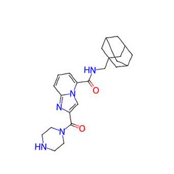 O=C(NCC12CC3CC(CC(C3)C1)C2)c1cccc2nc(C(=O)N3CCNCC3)cn12